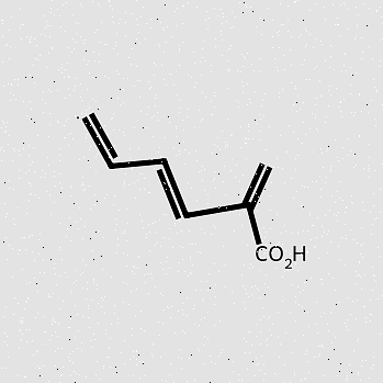 [CH]=CC=CC(=C)C(=O)O